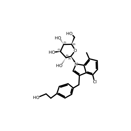 Cc1ccc(Cl)c2c(Cc3ccc(CCO)cc3)cn([C@@H]3O[C@H](CO)[C@@H](O)[C@H](O)[C@H]3O)c12